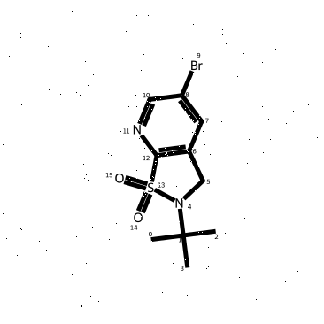 CC(C)(C)N1Cc2cc(Br)cnc2S1(=O)=O